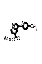 COC(=O)c1ccn2ncc(-c3ccc(C(F)(F)F)cn3)c2c1